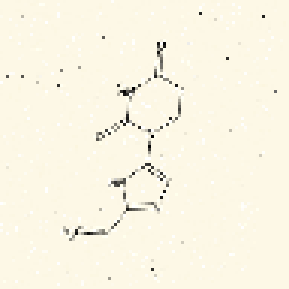 C=Cc1ncc(N2CCC(=O)NC2=O)[nH]1